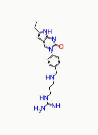 CCc1cc2cn(-c3ccc(CNCCCNC(=N)N)cc3)c(=O)nc2[nH]1